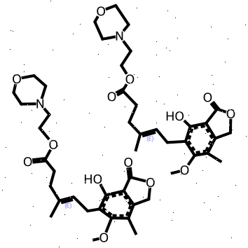 COc1c(C)c2c(c(O)c1C/C=C(\C)CCC(=O)OCCN1CCOCC1)C(=O)OC2.COc1c(C)c2c(c(O)c1C/C=C(\C)CCC(=O)OCCN1CCOCC1)C(=O)OC2